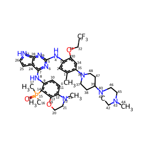 Cc1cc(Nc2nc(Nc3ccc4c(c3P(C)(C)=O)OCCN4C)c3cc[nH]c3n2)c(OCC(F)(F)F)cc1N1CCC(N2CCN(C)CC2)CC1